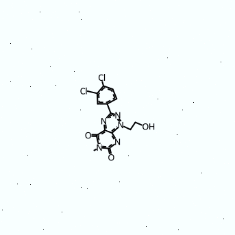 Cn1c(=O)nc2n(CCO)nc(-c3ccc(Cl)c(Cl)c3)nc-2c1=O